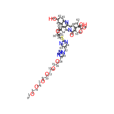 CCOCCOCCOCCOCCOCCOCc1cn(Cc2cnc(SC[Si](C)(C)O[Si](C)(C)c3c4c(nc5ccc(O)cc35)-c3cc5c(c(=O)n3C4)COC(=O)[C@]5(O)CC)nc2)nn1